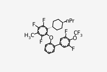 CCC[C@H]1CC[C@H](c2c(F)c(F)c(C)c(F)c2Oc2ccccc2-c2cc(F)c(OC(F)(F)F)c(F)c2)CC1